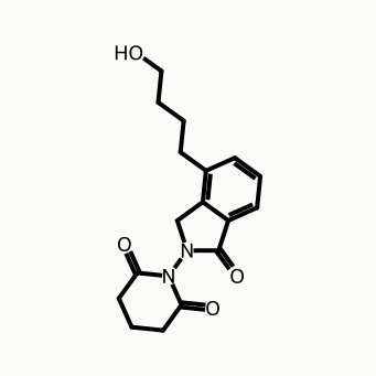 O=C1c2cccc(CCCCO)c2CN1N1C(=O)CCCC1=O